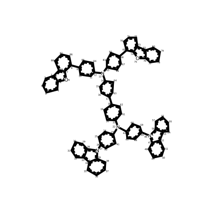 c1ccc2c(c1)oc1c(-c3ccc(N(c4ccc(-c5ccc(N(c6ccc(-n7c8ccccc8c8ccccc87)cc6)c6ccc(-n7c8ccccc8c8ccccc87)cc6)cc5)cc4)c4ccc(-c5cccc6c5oc5ccccc56)cc4)cc3)cccc12